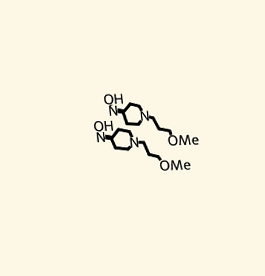 COCCCN1CCC(=NO)CC1.COCCCN1CCC(=NO)CC1